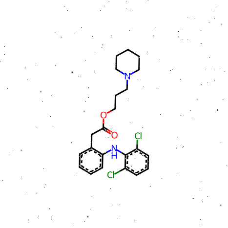 O=C(Cc1ccccc1Nc1c(Cl)cccc1Cl)OCCCN1CCCCC1